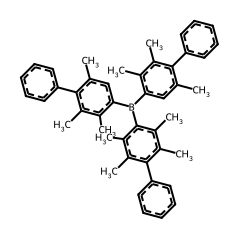 Cc1cc(B(c2cc(C)c(-c3ccccc3)c(C)c2C)c2c(C)c(C)c(-c3ccccc3)c(C)c2C)c(C)c(C)c1-c1ccccc1